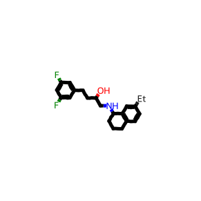 CCc1ccc2c(c1)C(NCC(O)CCc1cc(F)cc(F)c1)CCC2